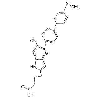 CSc1ccc(-c2ccc(-c3nc4cc(CCCC(=O)O)[nH]c4cc3Cl)cc2)cc1